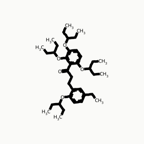 CCc1ccc(OC(CC)CC)c(CCC(=O)c2c(OC(CC)CC)ccc(OC(CC)CC)c2OC(CC)CC)c1